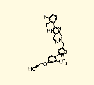 C#CCOc1ccc(-c2cc(CN3Cc4nc(-c5cccc(F)c5F)[nH]c4C=N3)on2)c(C(F)(F)F)c1